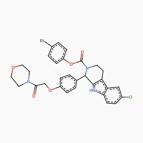 CCc1ccc(OC(=O)N2CCc3c([nH]c4ccc(Cl)cc34)C2c2ccc(OCC(=O)N3CCOCC3)cc2)cc1